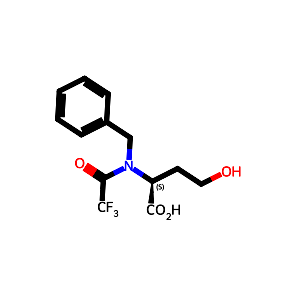 O=C(O)[C@H](CCO)N(Cc1ccccc1)C(=O)C(F)(F)F